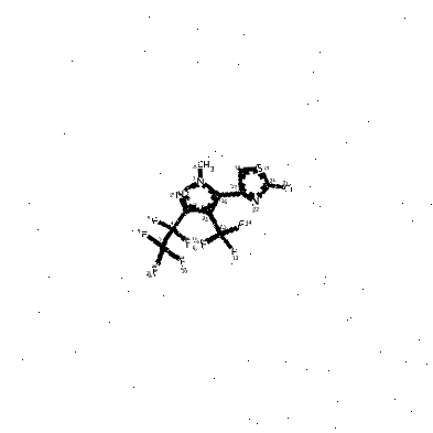 Cn1nc(C(F)(F)C(F)(F)F)c(C(F)(F)F)c1-c1csc(Cl)n1